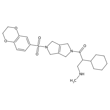 CNCC(C(=O)N1CC2=C(C1)CN(S(=O)(=O)c1ccc3c(c1)OCCO3)C2)C1CCCCC1